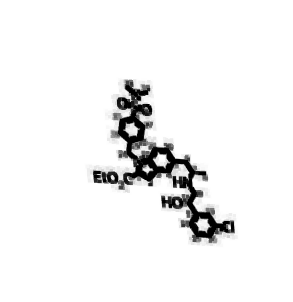 CCOC(=O)c1cc2cc(C[C@@H](C)NC[C@@H](O)c3cccc(Cl)c3)ccc2n1Cc1ccc(S(=O)(=O)N(C)C)cc1